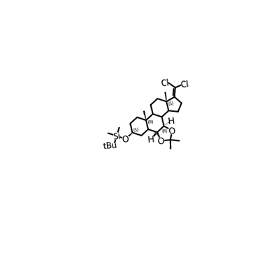 CC1(C)O[C@@H]2C3C(CC[C@]4(C)C(=C(Cl)Cl)CCC34)[C@@]3(C)CC[C@H](O[Si](C)(C)C(C)(C)C)CC3[C@H]2O1